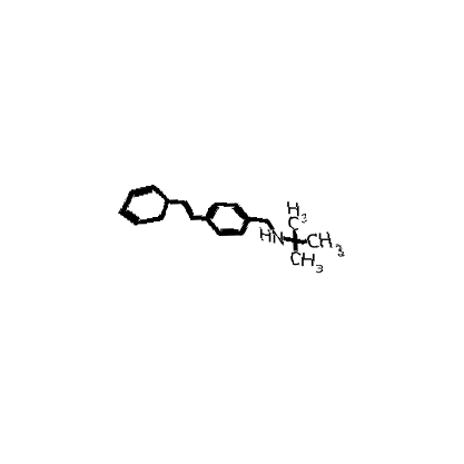 CC(C)(C)NCc1ccc(/C=C/C2C=CC=CC2)cc1